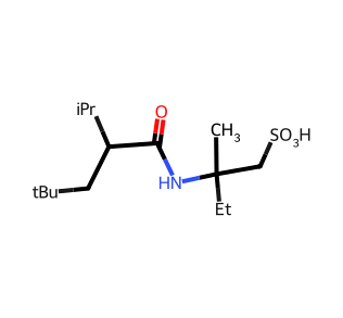 CCC(C)(CS(=O)(=O)O)NC(=O)C(CC(C)(C)C)C(C)C